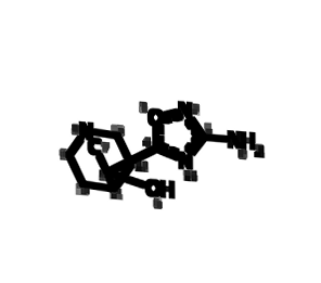 Nc1noc(C2(O)CN3CCC2CC3)n1